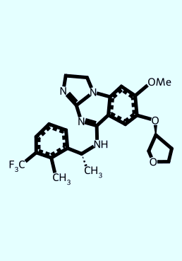 COc1cc2c(cc1O[C@H]1CCOC1)C(N[C@H](C)c1cccc(C(F)(F)F)c1C)=NC1=NCCN12